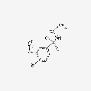 C[C@H](NS(=O)(=O)c1ccc(Br)c(OC(F)(F)F)c1)C(F)(F)F